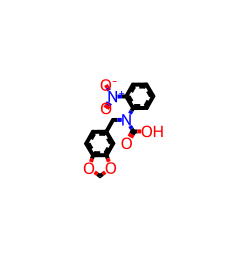 O=C(O)N(Cc1ccc2c(c1)OCO2)c1ccccc1[N+](=O)[O-]